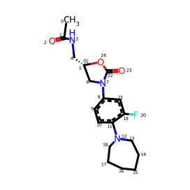 CC(=O)NC[C@H]1CN(c2ccc(N3CCCCCC3)c(F)c2)C(=O)O1